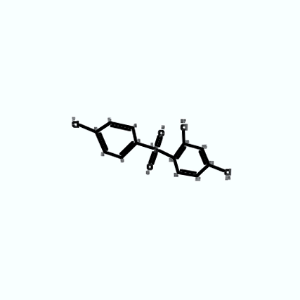 O=S(=O)(c1ccc(Cl)cc1)c1ccc(Cl)cc1Cl